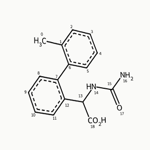 Cc1ccccc1-c1ccccc1C(NC(N)=O)C(=O)O